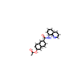 CC(=O)Oc1ccc2cc(C(=O)Nc3cccc4cccnc34)ccc2c1